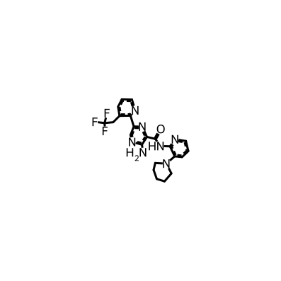 Nc1ncc(-c2ncccc2CC(F)(F)F)nc1C(=O)Nc1ncccc1N1CCCCC1